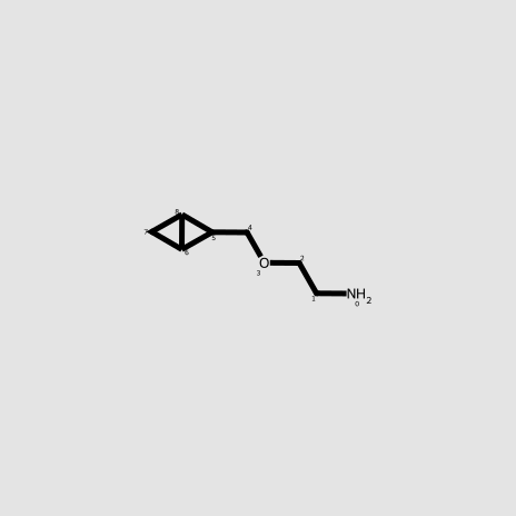 NCCOCC1C2CC12